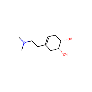 CN(C)CCC1=CC[C@H](O)[C@H](O)C1